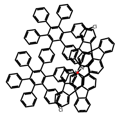 Clc1ccc(-c2c(-c3ccccc3)c(-c3ccccc3)c(-c3ccccc3)c(-c3ccc(-c4c(-c5ccccc5)c(-c5ccccc5)c(-c5ccccc5)c(-c5ccc(Cl)cc5)c4-c4ccc(-n5c6ccccc6c6ccc7c(c65)C5(c6ccccc6-c6ccccc65)c5ccccc5-7)cc4)cc3)c2-c2ccc(-n3c4ccccc4c4ccc5c(c43)C3(c4ccccc4-c4ccccc43)c3ccccc3-5)cc2)cc1